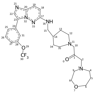 O=C(CN1CCCOCC1)CN1CCC(CNc2ccc3ncc(-c4cccc(OC(F)(F)F)c4)n3n2)CC1